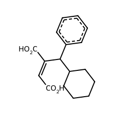 O=C(O)/C=C(/C(=O)O)C(c1ccccc1)C1CCCCC1